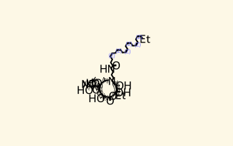 CC/C=C\C/C=C\C/C=C\C/C=C\C/C=C\C/C=C\CCC(=O)NCCCN1C[C@H](C)C[C@@](C)(O)[C@H](O[C@H]2O[C@H](C)C[C@H](N(C)C)[C@H]2O)[C@@H](C)[C@H](O)[C@@H](C)C(=O)O[C@H](CC)[C@@](C)(O)[C@H](O)[C@H]1C